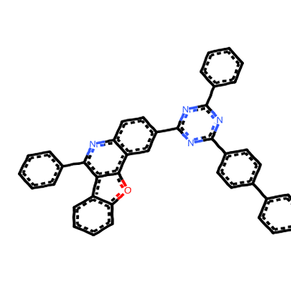 c1ccc(-c2ccc(-c3nc(-c4ccccc4)nc(-c4ccc5nc(-c6ccccc6)c6c7ccccc7oc6c5c4)n3)cc2)cc1